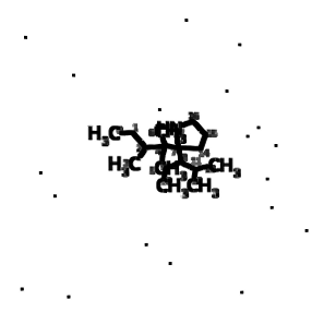 CCC(C)C(C)(C)C1(C(CC)C(C)C)CCCN1